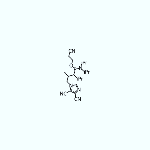 CC(C)C(C(C)Cn1cnc(C#N)c1C#N)P(OCCC#N)N(C(C)C)C(C)C